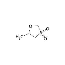 CC1CS(=O)(=O)CO1